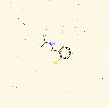 CC(=O)C(C)NCc1ccccc1S